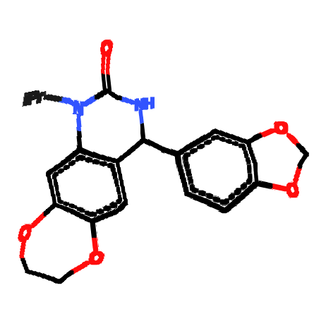 CC(C)N1C(=O)NC(c2ccc3c(c2)OCO3)c2cc3c(cc21)OCCO3